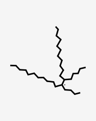 CCCCCCCCCCC[C](CCCC)C(CCCCC)CCCCCCCCCCC